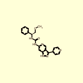 COC[C@@H](NC(=O)Nc1cc2[nH]nc(-c3ccncc3)c2cn1)c1ccccc1